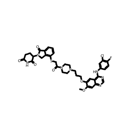 COc1cc2ncnc(Nc3ccc(F)c(Cl)c3)c2cc1OCCCN1CCN(C(=O)CSc2cccc3c2CN(C2CCC(=O)NC2=O)C3=O)CC1